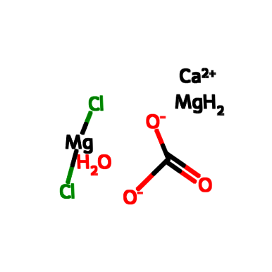 O.O=C([O-])[O-].[Ca+2].[Cl][Mg][Cl].[MgH2]